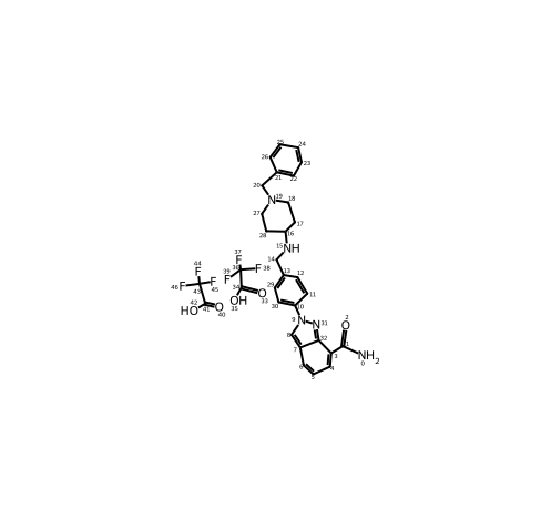 NC(=O)c1cccc2cn(-c3ccc(CNC4CCN(Cc5ccccc5)CC4)cc3)nc12.O=C(O)C(F)(F)F.O=C(O)C(F)(F)F